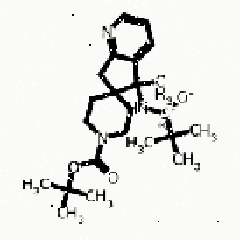 CC(C)(C)OC(=O)N1CCC2(CC1)Cc1ncccc1C2(C)N[S@@+]([O-])C(C)(C)C